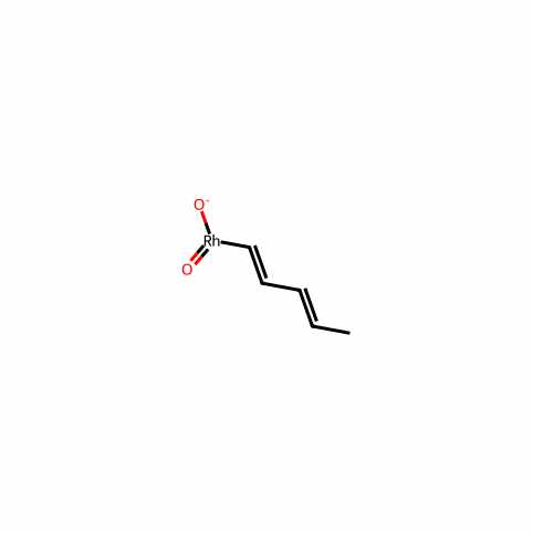 C/C=C/C=[CH]/[Rh](=[O])[O-]